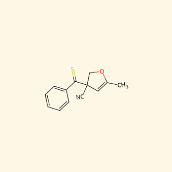 CC1=CC(C#N)(C(=S)c2ccccc2)CO1